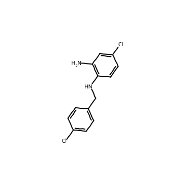 Nc1cc(Cl)ccc1NCc1ccc(Cl)cc1